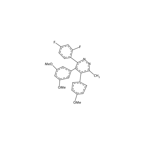 COc1ccc(-c2c(C)nnc(-c3ccc(F)cc3F)c2-c2cc(OC)cc(OC)c2)cc1